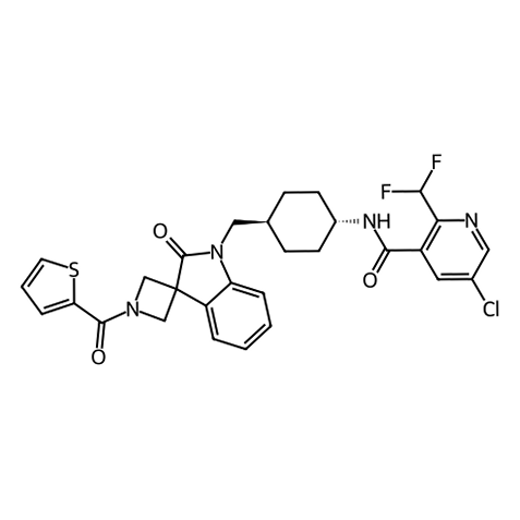 O=C(N[C@H]1CC[C@H](CN2C(=O)C3(CN(C(=O)c4cccs4)C3)c3ccccc32)CC1)c1cc(Cl)cnc1C(F)F